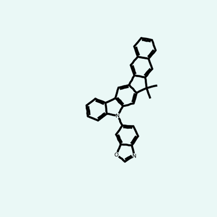 CC1(C)c2cc3ccccc3cc2-c2cc3c4ccccc4n(-c4ccc5ncoc5c4)c3cc21